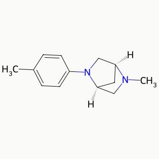 Cc1ccc(N2C[C@@H]3C[C@H]2CN3C)cc1